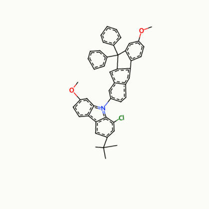 COc1ccc2c(c1)C(c1ccccc1)(c1ccccc1)c1cc3cc(-n4c5cc(OC)ccc5c5cc(C(C)(C)C)cc(Cl)c54)ccc3cc1-2